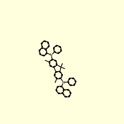 Cc1cc2c(cc1N(c1ccccc1)c1cccc3ccccc13)C(C)(C)c1cc(N(c3ccccc3)c3cccc4ccccc34)c(C)cc1-2